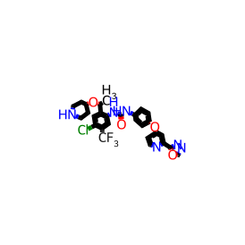 CC(OC1CCNCC1)c1cc(Cl)c(C(F)(F)F)cc1NC(=O)Nc1ccc(Oc2ccnc(-c3nnco3)c2)cc1